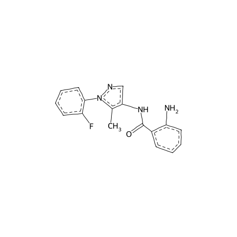 Cc1c(NC(=O)c2ccccc2N)cnn1-c1ccccc1F